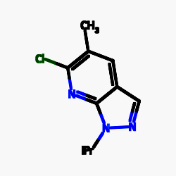 Cc1cc2cnn(C(C)C)c2nc1Cl